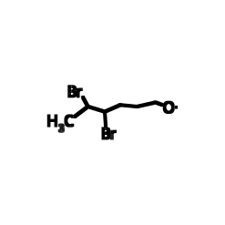 CC(Br)C(Br)CCC[O]